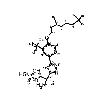 CC(CCCC(C)(C)C)CCOc1ccc(-c2nnc([C@@](C)(N)COP(=O)(O)O)s2)cc1C(F)(F)F